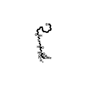 CC/C=C\C/C=C\C/C=C\C/C=C\C/C=C\C/C=C\CC(=O)NCCSSCCNC(=O)CCNC(=O)[C@H](OI)C(C)(C)COC